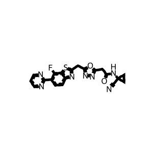 N#CC1(NC(=O)Cc2nnc(Cc3nc4ccc(-c5ncccn5)c(F)c4s3)o2)CC1